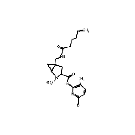 C=CCCCC(=O)NCC12CC(C(=O)Nc3nc(Br)ccc3C)N(C(=O)O)C1C2